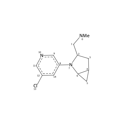 CNCC1CC2CC2N1c1cncc(Cl)c1